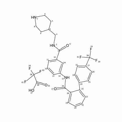 O=C(NCC1CCNCC1)c1cccc(NC(=O)c2ccccc2-c2ccc(C(F)(F)F)cc2)c1.O=C(O)C(F)(F)F